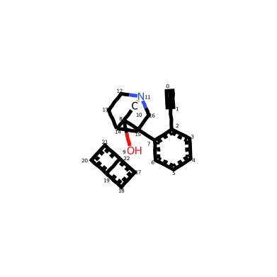 C#Cc1ccccc1C1(O)CN2CCC1CC2.c1cc2ccc1-2